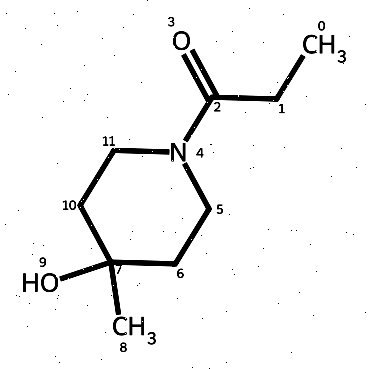 CCC(=O)N1CCC(C)(O)CC1